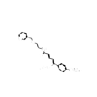 CCCCC/C(=C\C=C\C(=O)NCCOCc1cccnc1)c1ccc(OC)cc1